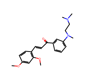 COc1ccc(C=CC(=O)c2cccc(N(C)CCN(C)C)c2)c(OC)c1